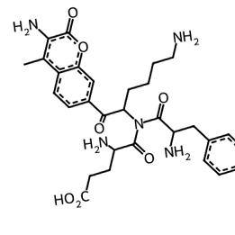 Cc1c(N)c(=O)oc2cc(C(=O)C(CCCCN)N(C(=O)C(N)CCC(=O)O)C(=O)C(N)Cc3ccccc3)ccc12